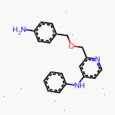 Nc1ccc(COCc2cc(Nc3ccccc3)ccn2)cc1